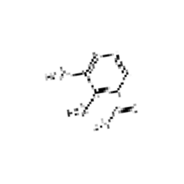 C=COC(C)=O.O=C(O)c1ccccc1C(=O)O